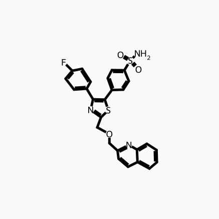 NS(=O)(=O)c1ccc(-c2sc(COCc3ccc4ccccc4n3)nc2-c2ccc(F)cc2)cc1